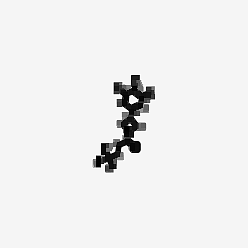 O=C(CCC(F)(F)F)N1CC(c2cc(F)c(F)c(F)c2)C1